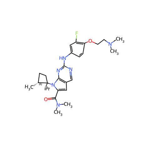 CC(C)C1(n2c(C(=O)N(C)C)cc3cnc(Nc4ccc(OCCN(C)C)c(F)c4)nc32)CC[C@H]1C